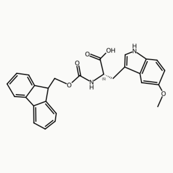 COc1ccc2[nH]cc(C[C@H](NC(=O)OCC3c4ccccc4-c4ccccc43)C(=O)O)c2c1